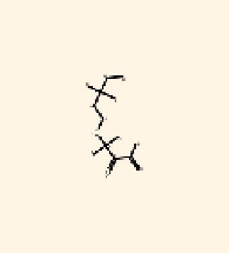 C=C(C)C(=O)C(C)(C)OCCC(C)(C)CC